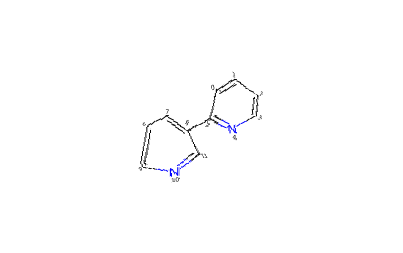 [c]1cccnc1-c1cccnc1